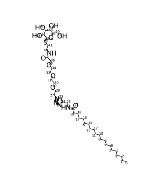 CCCCCCCCCCCCCCCCCCCCC(=O)NCc1cn(CCOCCOCCOCC(=O)NCCS[C@@H]2OC(CO)C(O)C(O)C2O)nn1